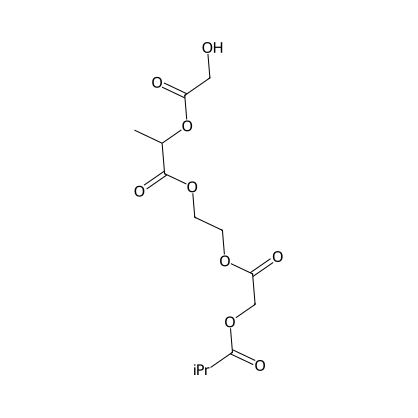 CC(C)C(=O)OCC(=O)OCCOC(=O)C(C)OC(=O)CO